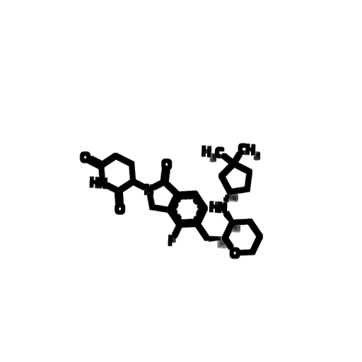 CC1(C)CC[C@H](N[C@H]2CCCO[C@@H]2Cc2ccc3c(c2F)CN(C2CCC(=O)NC2=O)C3=O)C1